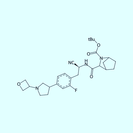 CC(C)(C)OC(=O)N1C2CCC(C2)C1C(=O)N[C@H](C#N)Cc1ccc(C2CCN(C3COC3)C2)cc1F